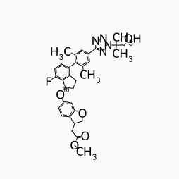 COC(=O)CC1COc2cc(O[C@@H]3CCc4c(-c5c(C)cc(-c6nnn(C(C)(C)CO)n6)cc5C)ccc(F)c43)ccc21